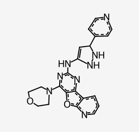 C1=C(Nc2nc(N3CCOCC3)c3oc4ncccc4c3n2)NNC1c1ccncc1